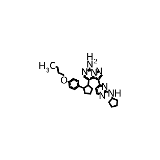 CCCCOc1ccc(C2CCCC2c2cnc(N)n3ncc(-c4ccnc(NC5CCCC5)n4)c23)cc1